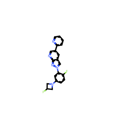 Fc1ccc(N2CC(F)C2)cc1-n1cc2cc(-c3ccccn3)cnc2n1